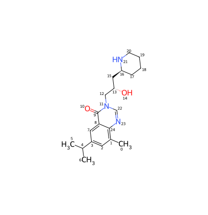 Cc1cc(C(C)C)cc2c(=O)n(C[C@@H](O)C[C@@H]3CCCCN3)cnc12